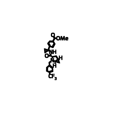 COC(=O)c1ccc(C2(NC(=O)[C@H]3C[C@@H]4C[C@@H]4N3Cc3ccc(C(F)(F)F)cc3)CC2)cc1